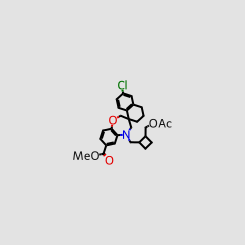 COC(=O)c1ccc2c(c1)N(CC1CCC1COC(C)=O)CC1(CCCc3cc(Cl)ccc31)CO2